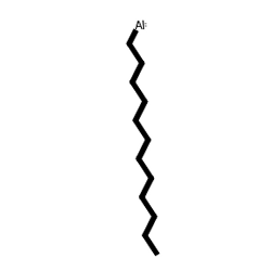 CCCCCCCCCCC[CH2][Al]